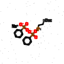 CCCCCCCCCCCC[S+].O=S(=O)([O-])c1ccccc1.O=S(=O)([O-])c1ccccc1.[Na+]